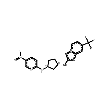 O=[N+]([O-])c1ccc(N[C@H]2CC[C@H](Nc3nc4cc(C(F)(F)F)ccn4n3)C2)nc1